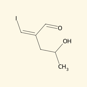 CC(O)C/C(C=O)=C/I